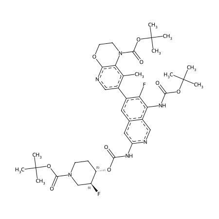 Cc1c(-c2cc3cc(NC(=O)O[C@H]4CCN(C(=O)OC(C)(C)C)C[C@@H]4F)ncc3c(NC(=O)OC(C)(C)C)c2F)cnc2c1N(C(=O)OC(C)(C)C)CCO2